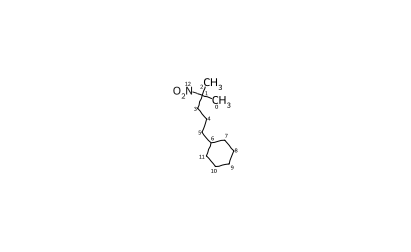 CC(C)(CCCC1CCCCC1)[N+](=O)[O-]